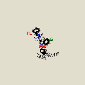 COc1ccc(S(=O)(=O)N(CC(=O)N/N=C/c2ccccc2O)c2ccc(Cl)cc2)cc1OC